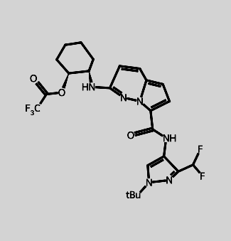 CC(C)(C)n1cc(NC(=O)c2ccc3ccc(N[C@@H]4CCCC[C@@H]4OC(=O)C(F)(F)F)nn23)c(C(F)F)n1